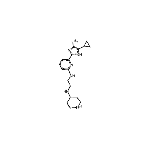 Cc1nc(-c2cccc(NCCNC3CCNCC3)n2)[nH]c1C1CC1